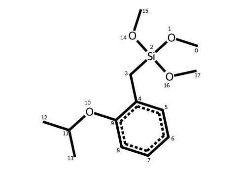 CO[Si](Cc1ccccc1OC(C)C)(OC)OC